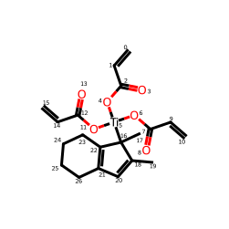 C=CC(=O)[O][Ti]([O]C(=O)C=C)([O]C(=O)C=C)[C]1(C)C(C)=CC2=C1CCCC2